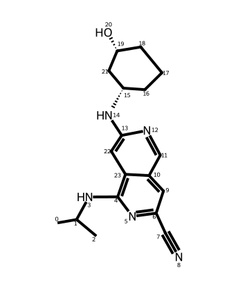 CC(C)Nc1nc(C#N)cc2cnc(N[C@H]3CCC[C@@H](O)C3)cc12